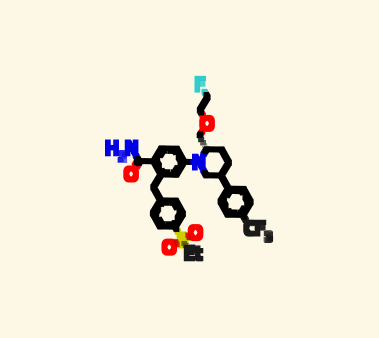 CCS(=O)(=O)c1ccc(Cc2cc(N3CC(c4ccc(C(F)(F)F)cc4)CC[C@H]3COCCF)ccc2C(N)=O)cc1